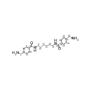 NCc1ccc(C(=O)NCCCCCCNC(=O)c2ccc(CN)cc2)cc1